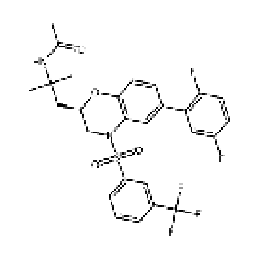 CC(=O)NC(C)(C)C[C@@H]1CN(S(=O)(=O)c2cccc(C(F)(F)F)c2)c2cc(-c3cc(F)ccc3F)ccc2O1